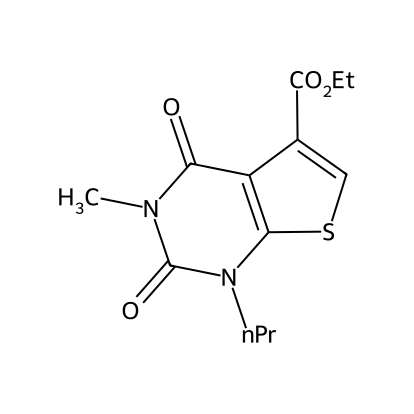 CCCn1c(=O)n(C)c(=O)c2c(C(=O)OCC)csc21